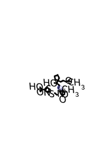 COCCCC1(C(O)/C=C/[C@H]2[C@H](C)OC(=O)N2CCSc2nc(C(=O)O)cs2)CCCC1